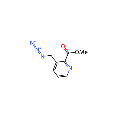 COC(=O)c1ncccc1CN=[N+]=[N-]